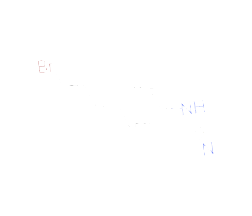 N#CNc1ccc(CCCBr)cc1